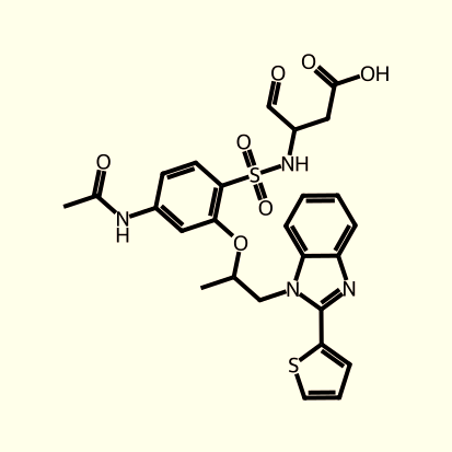 CC(=O)Nc1ccc(S(=O)(=O)NC(C=O)CC(=O)O)c(OC(C)Cn2c(-c3cccs3)nc3ccccc32)c1